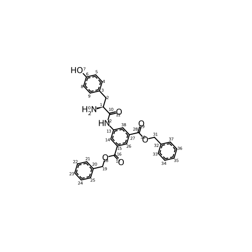 N[C@@H](Cc1ccc(O)cc1)C(=O)Nc1cc(C(=O)OCc2ccccc2)cc(C(=O)OCc2ccccc2)c1